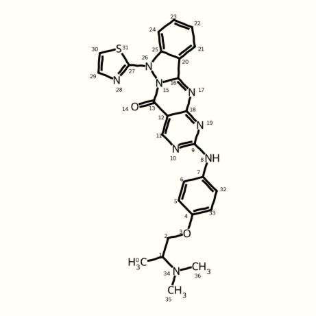 CC(COc1ccc(Nc2ncc3c(=O)n4c(nc3n2)c2ccccc2n4-c2nccs2)cc1)N(C)C